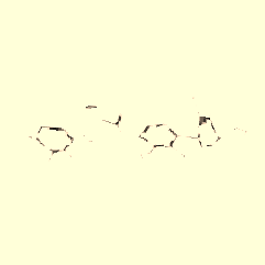 CCc1ccc(-c2ccc(OC(=O)C3CCC(c4ccc(C)c(F)c4F)CC3)c(F)c2F)c(F)c1F